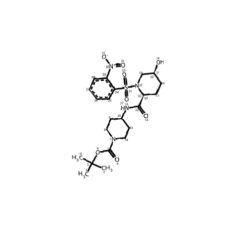 CC(C)(C)OC(=O)N1CCC(NC(=O)[C@@H]2CC[C@H](O)CN2S(=O)(=O)c2ccccc2[N+](=O)[O-])CC1